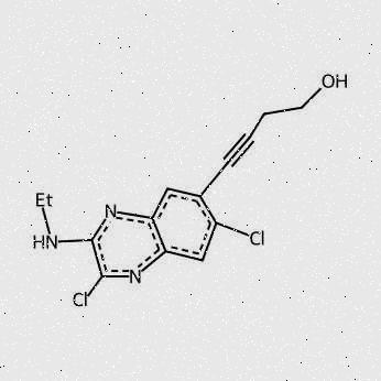 CCNc1nc2cc(C#CCCO)c(Cl)cc2nc1Cl